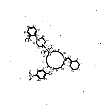 CN(C)c1ccc(SN2CCCN(CC3CCCCC3)CCCN(S(=O)(=O)N3CCN(c4ccccc4Cl)CC3)CCC2)cc1